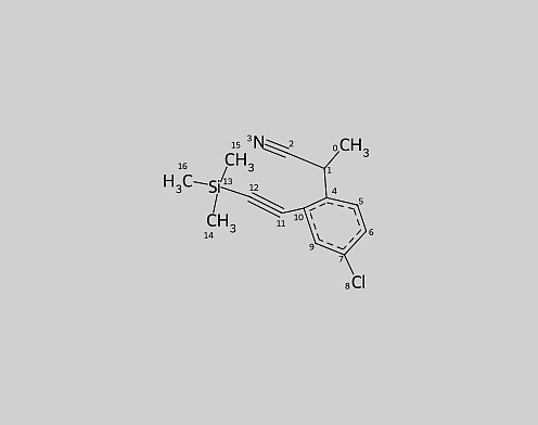 CC(C#N)c1ccc(Cl)cc1C#C[Si](C)(C)C